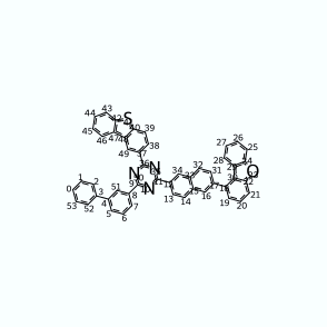 c1ccc(-c2cccc(-c3nc(-c4ccc5cc(-c6cccc7oc8ccccc8c67)ccc5c4)nc(-c4ccc5sc6ccccc6c5c4)n3)c2)cc1